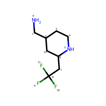 NCC1CCNC(CC(F)(F)F)C1